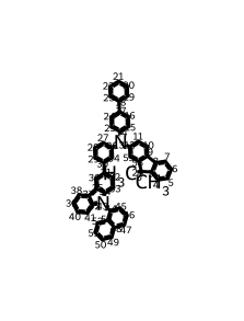 CC1(C)c2ccccc2-c2ccc(N(c3ccc(-c4ccccc4)cc3)c3cccc(-c4ccc5c(c4)c4ccccc4n5-c4cccc5ccccc45)c3)cc21